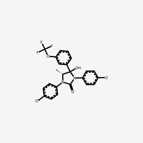 C[C@H]1N(c2ccc(Cl)cc2)C(=O)N(c2ccc(Cl)cc2)C1(O)c1cccc(OC(F)(F)F)c1